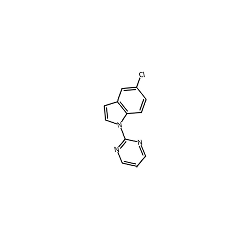 Clc1ccc2c(ccn2-c2ncccn2)c1